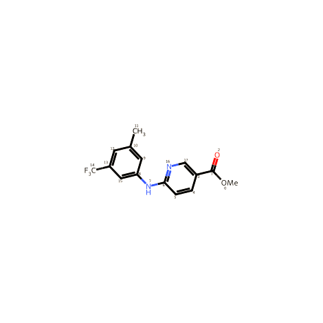 COC(=O)c1ccc(Nc2cc(C)cc(C(F)(F)F)c2)nc1